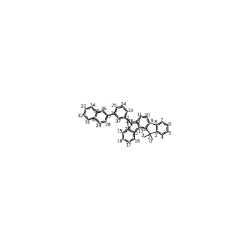 CC1(C)c2ccccc2-c2ccc3c(c21)c1ccccc1n3-c1cccc(-c2ccc3ccccc3c2)c1